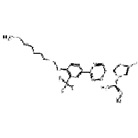 CCCCCCCCOc1ccc(C2=NOC([C@@H]3C[C@@H](F)CN3/C(N)=N/O)C=N2)cc1C(F)(F)F